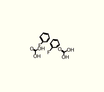 Fc1ccccc1.Fc1ccccc1.O=C(O)O.O=C(O)O